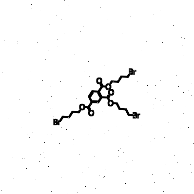 O=C(OCCCCBr)c1ccc(C(=O)OCCCCBr)c(C(=O)OCCCCBr)c1